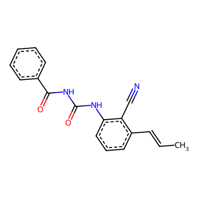 CC=Cc1cccc(NC(=O)NC(=O)c2ccccc2)c1C#N